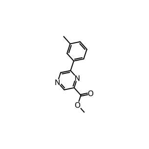 COC(=O)c1cncc(-c2cccc(C)c2)n1